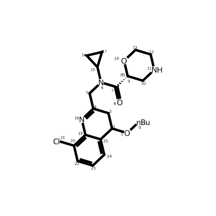 CCCCOC1CC(CN(C(=O)[C@H]2CNCCO2)C2CC2)=Nc2c(Cl)cccc21